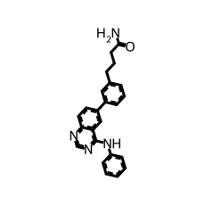 NC(=O)CCCc1cccc(-c2ccc3ncnc(Nc4ccccc4)c3c2)c1